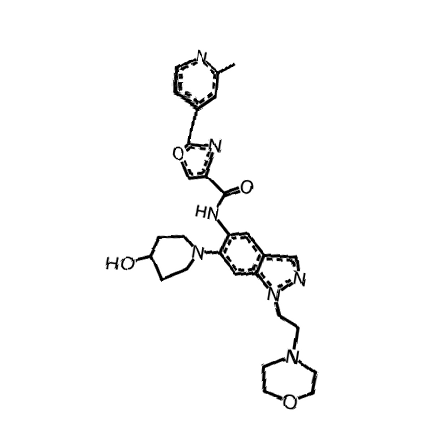 Cc1cc(-c2nc(C(=O)Nc3cc4cnn(CCN5CCOCC5)c4cc3N3CCC(O)CC3)co2)ccn1